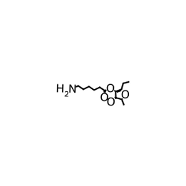 CCC1=C(OC(=O)CCCCCN)C(=O)C(C)O1